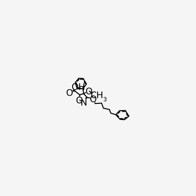 COC1(c2ccccc2)C(OCCCCCc2ccccc2)=NOC1C(=O)O